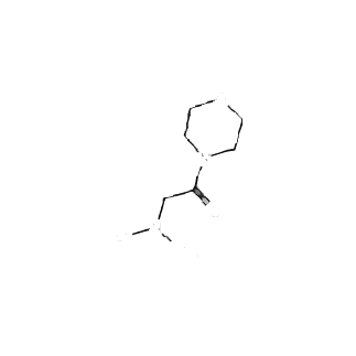 CCN(C)CC(=O)N1CCOCC1